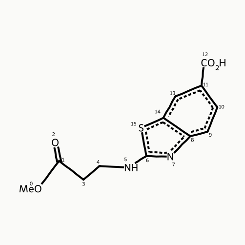 COC(=O)CCNc1nc2ccc(C(=O)O)cc2s1